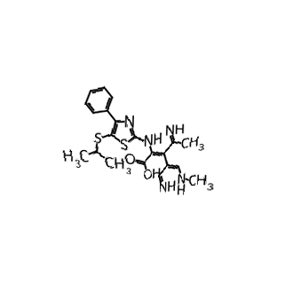 CN/C=C(C=N)/C(C(C)=N)=C(/Nc1nc(-c2ccccc2)c(SC(C)C)s1)C(=O)O